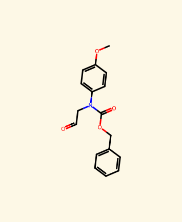 COc1ccc(N(CC=O)C(=O)OCc2ccccc2)cc1